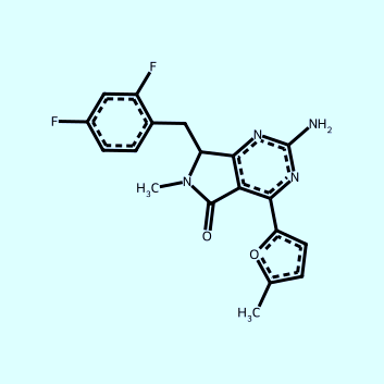 Cc1ccc(-c2nc(N)nc3c2C(=O)N(C)C3Cc2ccc(F)cc2F)o1